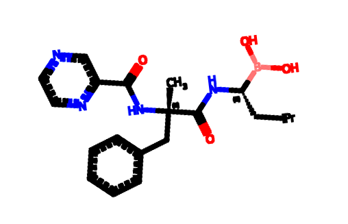 CC(C)C[C@H](NC(=O)[C@](C)(Cc1ccccc1)NC(=O)c1cnccn1)B(O)O